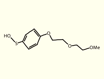 COCCOCCOc1ccc(SO)cc1